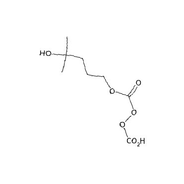 CC(C)(O)CCCOC(=O)OOC(=O)O